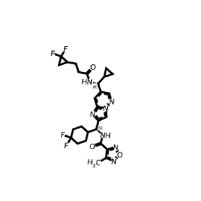 Cc1nonc1C(=O)N[C@H](c1cn2ncc([C@H](NC(=O)CCC3CC3(F)F)C3CC3)cc2n1)C1CCC(F)(F)CC1